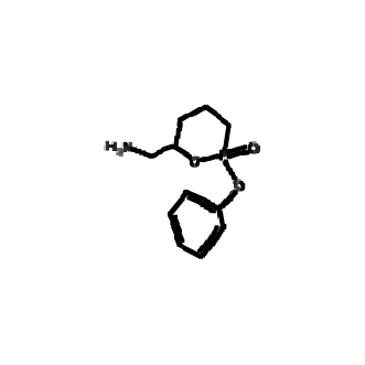 NCC1CCCP(=O)(Oc2ccccc2)O1